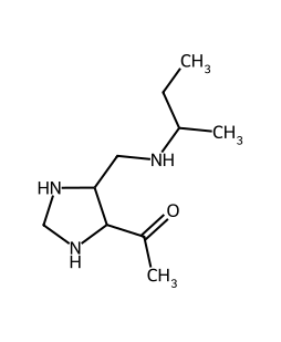 CCC(C)NCC1NCNC1C(C)=O